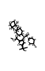 COC(=O)c1sc(C(C)(C)C)cc1N(C(=O)[C@H]1CC[C@H](C)CC1)C1CCC2(CC1)O[C@H]1COC[C@H]1O2